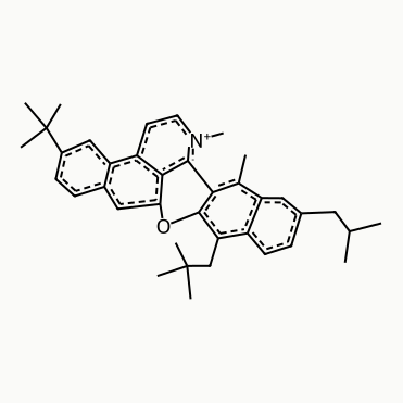 Cc1c2c(c(CC(C)(C)C)c3ccc(CC(C)C)cc13)Oc1cc3ccc(C(C)(C)C)cc3c3cc[n+](C)c-2c13